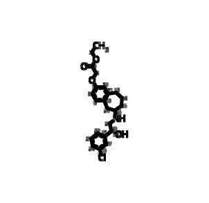 CCOC(=O)COc1ccc2c(c1)CCCC(NC[C@H](O)c1cccc(Cl)c1)C2